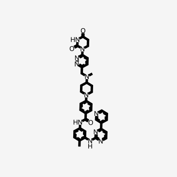 Cc1ccc(NC(=O)c2ccc(N3CCC(N(C)Cc4ccc(N5CCC(=O)NC5=O)nn4)CC3)cc2)cc1Nc1nccc(-c2cccnc2)n1